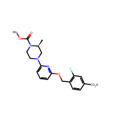 C[C@H]1CN(c2cccc(OCc3ccc(C(=O)O)cc3F)n2)CCN1C(=O)OC(C)(C)C